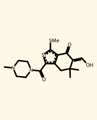 CSc1sc(C(=O)N2CCN(C)CC2)c2c1C(=O)/C(=C/O)C(C)(C)C2